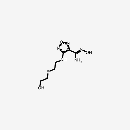 N/C(=N\O)c1nonc1NCCSCCO